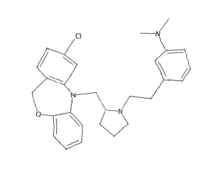 CN(C)c1cccc(CCN2CCCC2CN2c3cc(Cl)ccc3COc3ccccc32)c1